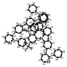 Fc1cccc(F)c1-c1c(-n2c3cc(-c4cccnc4-c4ccccc4)ccc3c3ccc(-c4cccnc4-c4ccccc4)cc32)cc(C(F)(F)F)cc1-n1c2cc(-c3cccnc3-c3ccccc3)ccc2c2ccc(-c3cccnc3-c3ccccc3)cc21